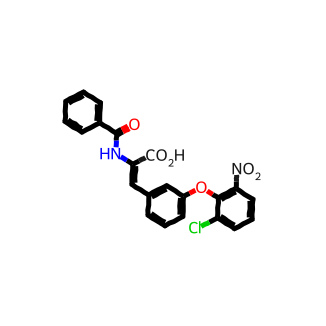 O=C(O)/C(=C\c1cccc(Oc2c(Cl)cccc2[N+](=O)[O-])c1)NC(=O)c1ccccc1